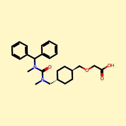 CN(C[C@H]1CC[C@H](COCC(=O)O)CC1)C(=O)N(C)C(c1ccccc1)c1ccccc1